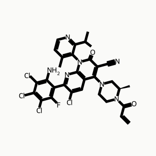 C=CC(=O)N1CCN(c2c(C#N)c(=O)n(-c3c(C)ccnc3C(C)C)c3nc(-c4c(N)c(Cl)c(Cl)c(Cl)c4F)c(Cl)cc23)C[C@H]1C